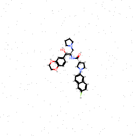 O=C(N[C@H](CN1CCCC1)[C@H](O)c1ccc2c(c1)OCCO2)[C@@H]1CCN(c2ccc3cc(F)ccc3c2)C1